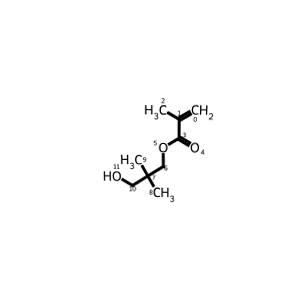 C=C(C)C(=O)OCC(C)(C)CO